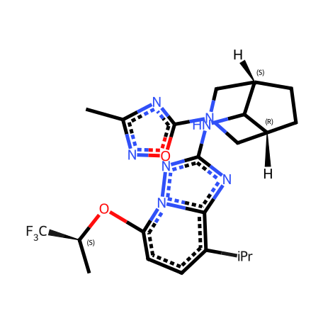 Cc1noc(N2C[C@H]3CC[C@@H](C2)C3Nc2nc3c(C(C)C)ccc(O[C@@H](C)C(F)(F)F)n3n2)n1